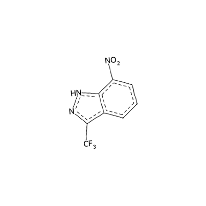 O=[N+]([O-])c1cccc2c(C(F)(F)F)n[nH]c12